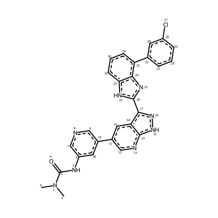 CN(C)C(=O)Nc1cncc(-c2cnc3[nH]nc(-c4nc5c(-c6cccc(Cl)c6)cccc5[nH]4)c3c2)c1